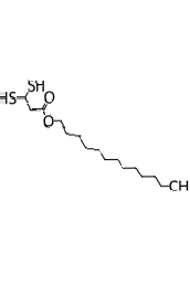 CCCCCCCCCCCCCOC(=O)CC(S)S